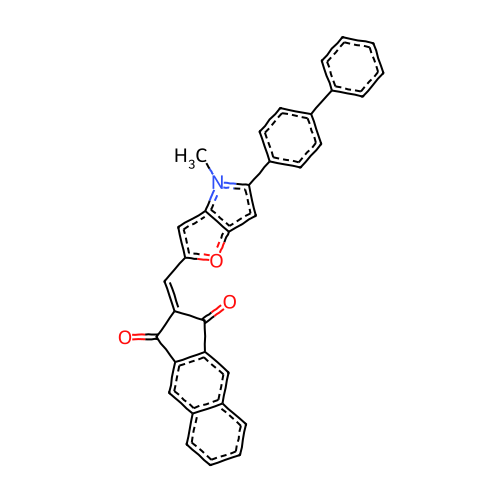 Cn1c(-c2ccc(-c3ccccc3)cc2)cc2oc(C=C3C(=O)c4cc5ccccc5cc4C3=O)cc21